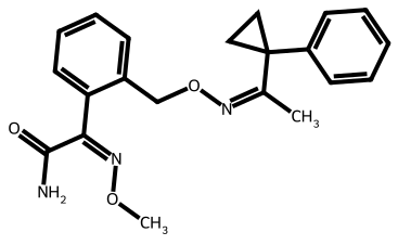 CON=C(C(N)=O)c1ccccc1CON=C(C)C1(c2ccccc2)CC1